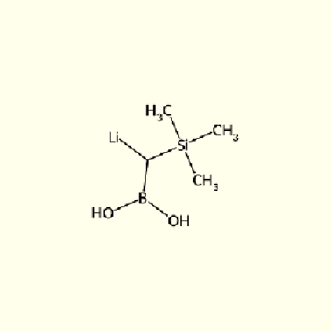 [Li][CH](B(O)O)[Si](C)(C)C